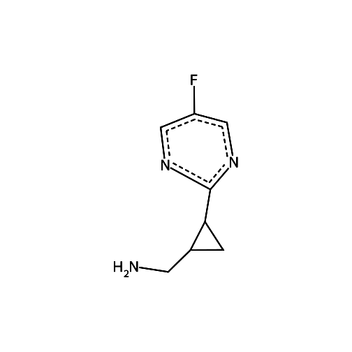 NCC1CC1c1ncc(F)cn1